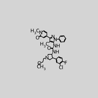 COCCN1CC(NC(=O)Nc2c(C)c(-c3ccn(C)c(=O)c3)nn2-c2ccccc2)C(c2ccc(F)c(Cl)c2)C1